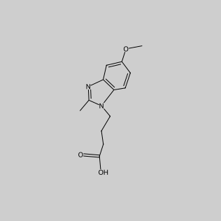 COc1ccc2c(c1)nc(C)n2CCCC(=O)O